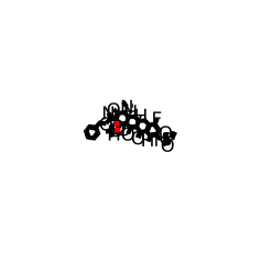 C=CS(=O)(=O)Nc1cc(F)c2c(c1C)C(=O)C1=C(O)[C@]3(O[Si](C)(C)C(C)(C)C)C(=O)c4c(OCc5ccccc5)noc4[C@@H](N(C)C)[C@@H]3C[C@@H]1C2